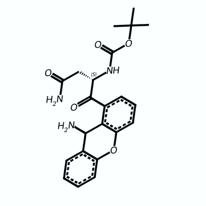 CC(C)(C)OC(=O)N[C@@H](CC(N)=O)C(=O)c1cccc2c1C(N)c1ccccc1O2